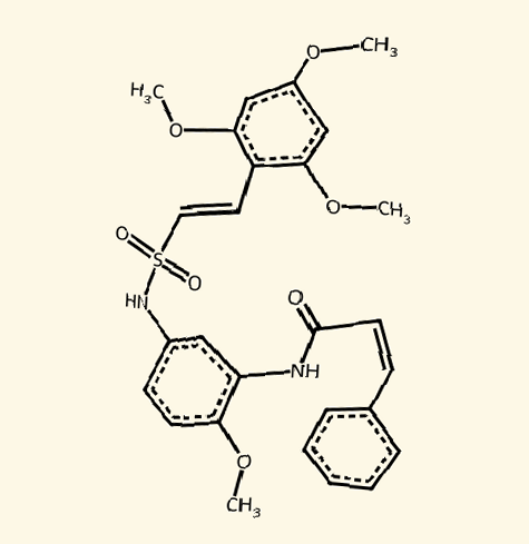 COc1cc(OC)c(/C=C/S(=O)(=O)Nc2ccc(OC)c(NC(=O)/C=C\c3ccccc3)c2)c(OC)c1